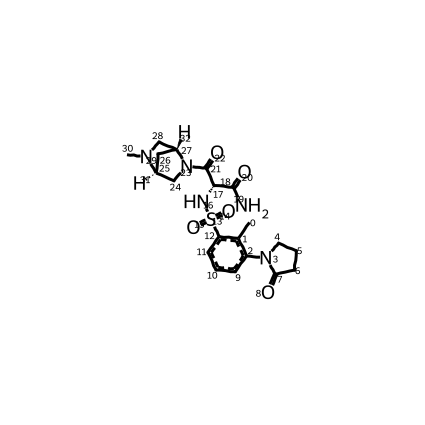 Cc1c(N2CCCC2=O)cccc1S(=O)(=O)N[C@@H](C(N)=O)C(=O)N1C[C@@H]2C[C@@H]1CN2C